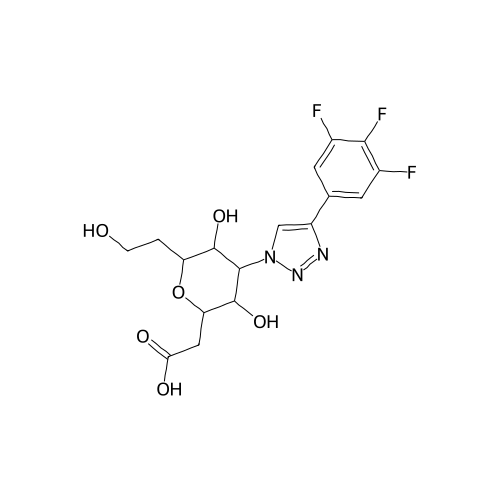 O=C(O)CC1OC(CCO)C(O)C(n2cc(-c3cc(F)c(F)c(F)c3)nn2)C1O